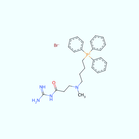 CN(CCCC[P+](c1ccccc1)(c1ccccc1)c1ccccc1)CCC(=O)NC(=N)N.[Br-]